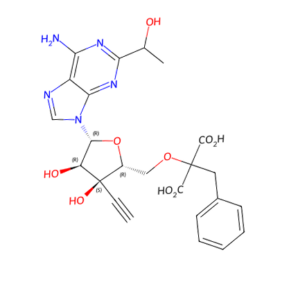 C#C[C@@]1(O)[C@@H](COC(Cc2ccccc2)(C(=O)O)C(=O)O)O[C@@H](n2cnc3c(N)nc(C(C)O)nc32)[C@@H]1O